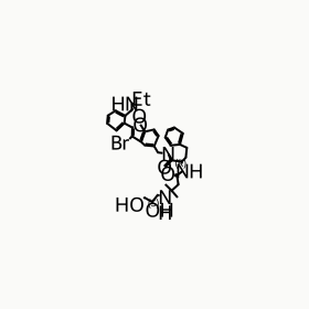 CCNC(=O)c1ccccc1-c1oc2ccc(CN3C(=O)[C@H](NC(=O)CC(C)(C)NC[C@H](O)CO)CCc4ccccc43)cc2c1Br